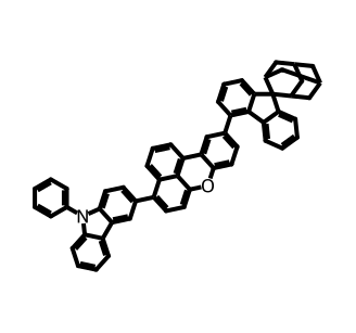 c1ccc(-n2c3ccccc3c3cc(-c4ccc5c6c(cccc46)-c4cc(-c6cccc7c6-c6ccccc6C76C7CC8CC(C7)CC6C8)ccc4O5)ccc32)cc1